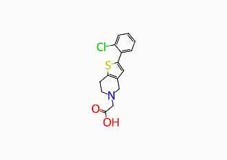 O=C(O)CN1CCc2sc(-c3ccccc3Cl)cc2C1